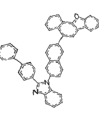 c1ccc(-c2ccc(-c3nc4ccccc4n3-c3ccc4cc(-c5cc6c7ccccc7oc6c6ccccc56)ccc4c3)cc2)cc1